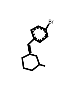 CC1CCC/C(=C/c2ccc(Br)cc2)C1